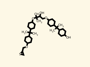 CC(C)(OC1CCC(C(C)(C)C2CCC(OCC3CS3)CC2)CC1)C(O)COC1CCC(C(C)(C)C2CCC(O)CC2)CC1